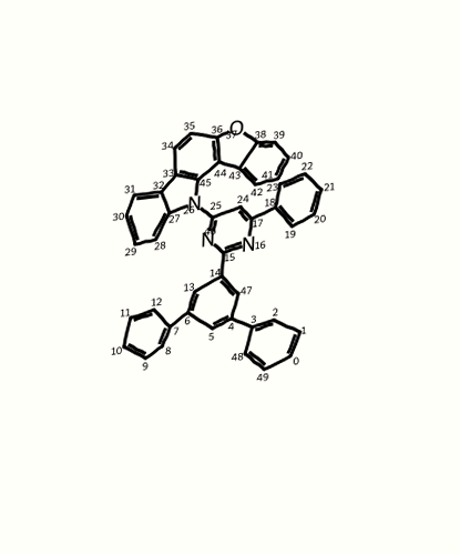 c1ccc(-c2cc(-c3ccccc3)cc(-c3nc(-c4ccccc4)cc(-n4c5ccccc5c5ccc6oc7ccccc7c6c54)n3)c2)cc1